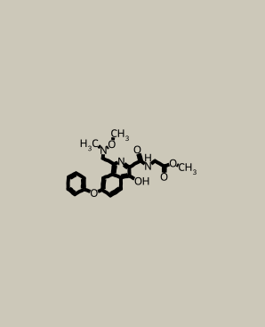 COC(=O)CNC(=O)c1nc(CN(C)OC)c2cc(Oc3ccccc3)ccc2c1O